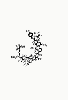 CC[C@H](C)[C@H](NC(=O)[C@H](CC(N)=O)NC(=O)[C@@H](NC(=O)[C@@H]1CCCN1C(=O)[C@@H](NC(=O)[C@H](CC(N)=O)NC(=O)[C@H](Cc1ccc(O)cc1)NC(=O)[C@H](C)N)[C@@H](C)CC)C(C)C)C(=O)N[C@@H](C)C(=O)N[C@@H](CCCNC(=N)N)C(=O)O